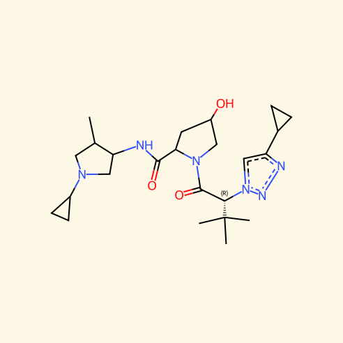 CC1CN(C2CC2)CC1NC(=O)C1CC(O)CN1C(=O)[C@H](n1cc(C2CC2)nn1)C(C)(C)C